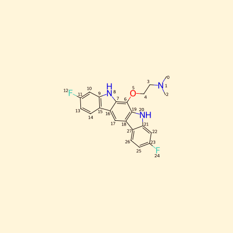 CN(C)CCOc1c2[nH]c3cc(F)ccc3c2cc2c1[nH]c1cc(F)ccc12